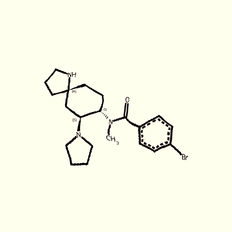 CN(C(=O)c1ccc(Br)cc1)[C@H]1CC[C@]2(CCCN2)C[C@@H]1N1CCCC1